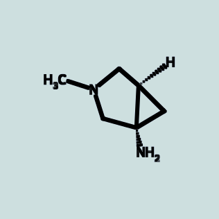 CN1C[C@H]2C[C@@]2(N)C1